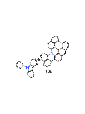 CC(C)(C)c1cc(-c2ccccc2N(c2ccc(-c3ccc4c(c3)c3ccccc3n4-c3ccccc3)cc2)c2ccccc2-c2cccc3cccc(-c4ccccc4)c23)cc(C(C)(C)C)c1